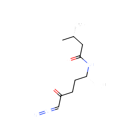 CO[C@@H](C)CC(=O)N[C@@H](CCC(=O)C=[N+]=[N-])C(=O)O